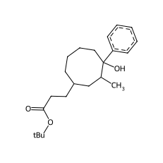 CC1CC(CCC(=O)OC(C)(C)C)CCCCC1(O)c1ccccc1